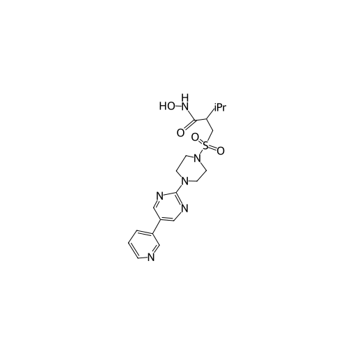 CC(C)C(CS(=O)(=O)N1CCN(c2ncc(-c3cccnc3)cn2)CC1)C(=O)NO